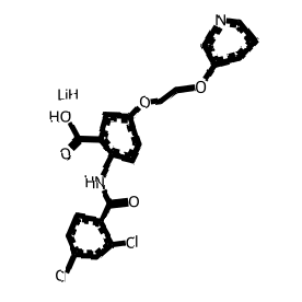 O=C(Nc1ccc(OCCOc2cccnc2)cc1C(=O)O)c1ccc(Cl)cc1Cl.[LiH]